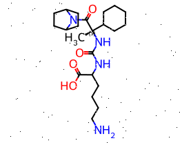 C[C@@](NC(=O)NC(CCCCN)C(=O)O)(C(=O)N1C2CCC1CC2)C1CCCCC1